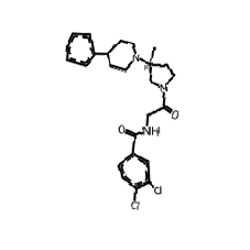 C[C@@]1(N2CCC(c3ccccc3)CC2)CCN(C(=O)CNC(=O)c2ccc(Cl)c(Cl)c2)C1